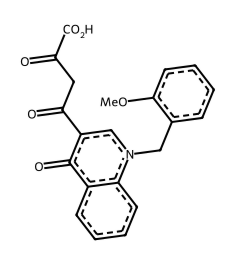 COc1ccccc1Cn1cc(C(=O)CC(=O)C(=O)O)c(=O)c2ccccc21